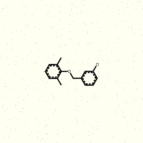 Cc1c[c]cc(C)c1OCc1cccc(Cl)c1